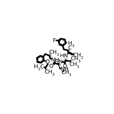 C=C=C(N[C@@H](C(=O)N[C@@H](CNC)C(=O)NC[C@@H](C)Cc1ccccc1OCC(C)C)C(C)C)[C@H](C)Cc1cccc(F)c1